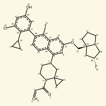 C=CC(=O)N1CCN(c2nc(OC[C@@]34CCCN3C[C@H](F)C4)nc3c(F)c(-c4cc(O)cc(Cl)c4C4CC4)ccc23)CC12CC2